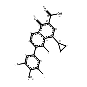 Cc1c(-c2cc(F)c(N)c(F)c2)ccn2c(=O)c(C(=O)O)cc(C3CC3)c12